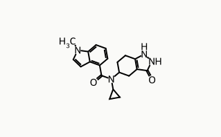 Cn1ccc2c(C(=O)N(C3CC3)C3CCc4[nH][nH]c(=O)c4C3)cccc21